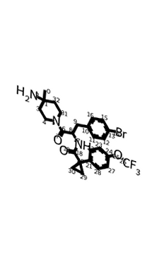 CC1(N)CCN(C(=O)C(Cc2ccc(Br)cc2)NC(=O)C2(c3ccc(OC(F)(F)F)cc3)CC2)CC1